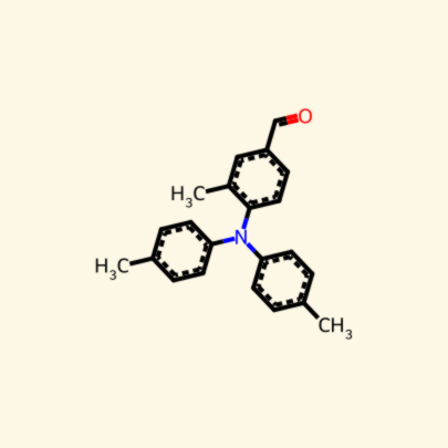 Cc1ccc(N(c2ccc(C)cc2)c2ccc(C=O)cc2C)cc1